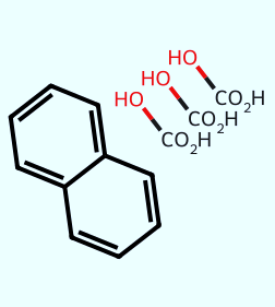 O=C(O)O.O=C(O)O.O=C(O)O.c1ccc2ccccc2c1